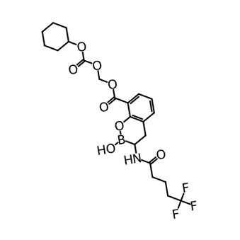 O=C(CCCC(F)(F)F)NC1Cc2cccc(C(=O)OCOC(=O)OC3CCCCC3)c2OB1O